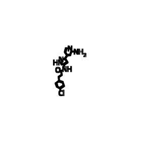 Nc1cc(-c2cc(NC(=O)CCc3ccc(Cl)cc3)[nH]n2)ccn1